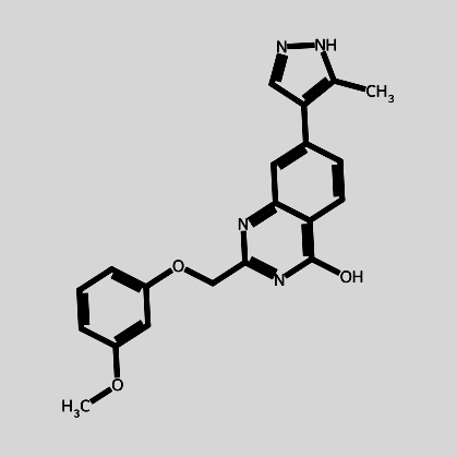 COc1cccc(OCc2nc(O)c3ccc(-c4cn[nH]c4C)cc3n2)c1